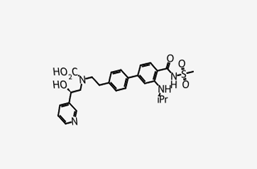 CC(C)Nc1cc(-c2ccc(CCN(C[C@H](O)c3cccnc3)C(=O)O)cc2)ccc1C(=O)NS(C)(=O)=O